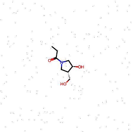 CCC(=O)N1C[C@@H](CO)[C@H](O)C1